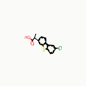 CC(C(=O)O)c1ccc2c(c1)sc1ccc(Cl)cc12